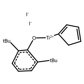 CC(C)(C)c1cccc(C(C)(C)C)c1[O][Ti+2][C]1=CC=CC1.[I-].[I-]